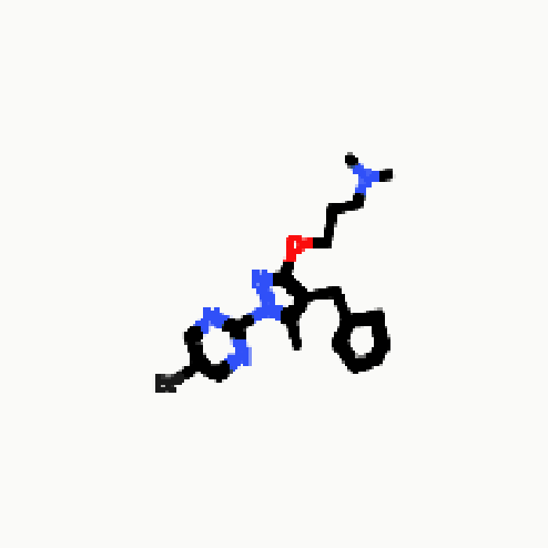 CCc1cnc(-n2nc(OCCCN(C)C)c(Cc3ccccc3)c2C)nc1